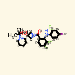 CC(C)(C)N1CCCC[C@H]1C1(O)CN(C(=O)c2ccc(F)c(F)c2Nc2ccc(I)cc2F)C1